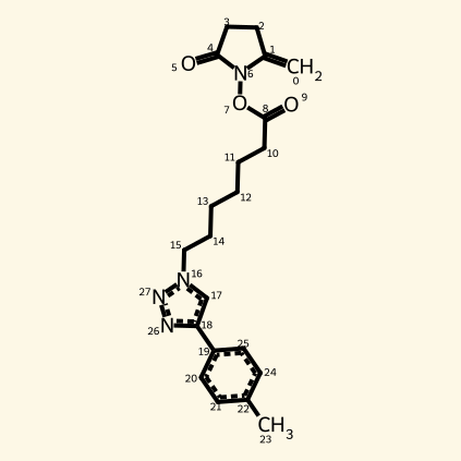 C=C1CCC(=O)N1OC(=O)CCCCCCn1cc(-c2ccc(C)cc2)nn1